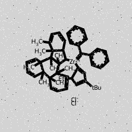 CCC1C=C(C(C)(C)C)C=[C]1[Zr+2](=[C](c1ccccc1)c1ccccc1)[CH]1C2C=CC=C(C)C2(C)C2(C)C3(C)C=CC=CC3(C)C3(C)C=CC=CC3(C)C12C.[Cl-].[Cl-]